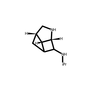 CC(C)NC1C2C[C@@H]3CN[C@H]1[C@H]23